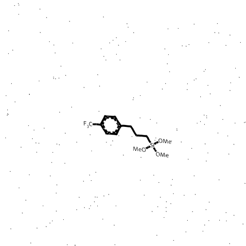 CO[Si](CCCc1ccc(C(F)(F)F)cc1)(OC)OC